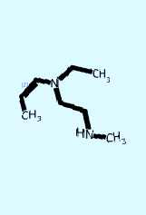 C/C=C\N(CC)CCNC